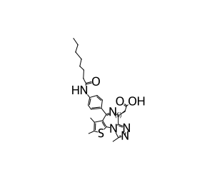 CCCCCCCC(=O)Nc1ccc(C2=N[C@@H](CC(=O)O)c3nnc(C)n3-c3sc(C)c(C)c32)cc1